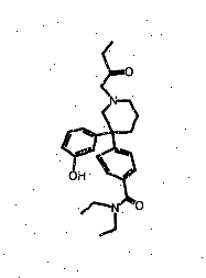 CCC(=O)CN1CCCC(c2ccc(C(=O)N(CC)CC)cc2)(c2cccc(O)c2)C1